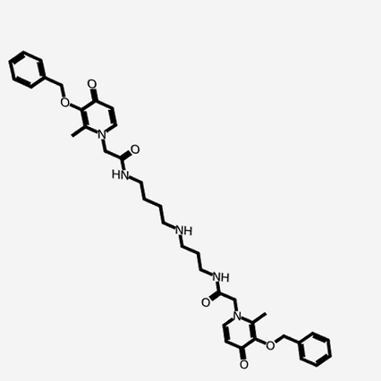 Cc1c(OCc2ccccc2)c(=O)ccn1CC(=O)NCCCCNCCCNC(=O)Cn1ccc(=O)c(OCc2ccccc2)c1C